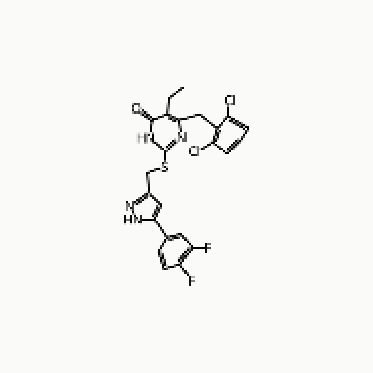 CCc1c(Cc2c(Cl)cccc2Cl)nc(SCc2cc(-c3ccc(F)c(F)c3)[nH]n2)[nH]c1=O